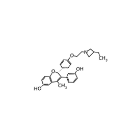 CCC1CN(CCOc2ccc([C@H]3Oc4ccc(O)cc4C(C)=C3c3cccc(O)c3)cc2)C1